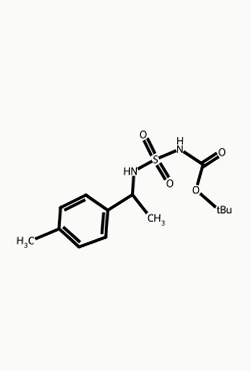 Cc1ccc(C(C)NS(=O)(=O)NC(=O)OC(C)(C)C)cc1